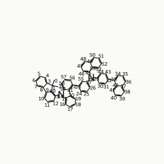 CC1(C)c2ccccc2-c2cccc(-n3c4ccccc4c4c(-c5cccc(N(c6ccc(-c7cccc8ccccc78)cc6)c6cccc7ccccc67)c5)cccc43)c21